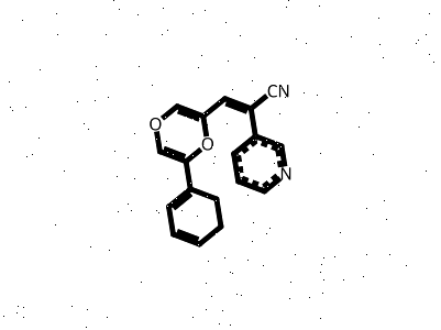 N#CC(=CC1=COC=C(C2=CC=CCC2)O1)c1cccnc1